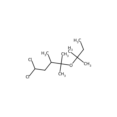 CCC(C)(C)OC(C)(C)C(C)CC(Cl)Cl